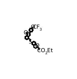 CCOC(=O)CC1CCc2cc(SCc3cccc4c3CN(c3ccc(OC(F)(F)F)cc3)C4=O)ccc2O1